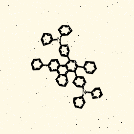 c1ccc(-c2ccc3c(c2)c2ccccc2c2c(-c4ccc(N(c5ccccc5)c5ccccc5)cc4)c(-c4ccccc4)cc(-c4ccc(N(c5ccccc5)c5ccccc5)cc4)c32)cc1